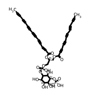 CC#CC#CC#CC#CC#CC#CC(=O)O[C@H](COC(=O)C#CC#CC#CC#CC#CC)COP(=O)(O)OC1C(O)[C@@H](OP(=O)(O)O)C(O)[C@@H](O)[C@H]1O